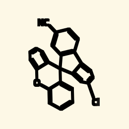 N#Cc1ccc2c(c1)C1(c3ccccc3Oc3ccccc31)c1cc(Cl)ccc1-2